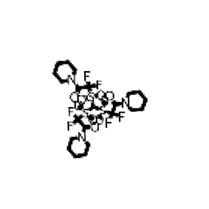 O=C(N1CCCCC1)C(F)(F)S(=O)(=O)C(S(=O)(=O)C(F)(F)C(=O)N1CCCCC1)S(=O)(=O)C(F)(F)C(=O)N1CCCCC1